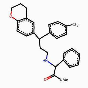 CNC(=O)C(NCCC(c1ccc(C(F)(F)F)cc1)c1ccc2c(c1)CCCO2)c1ccccc1